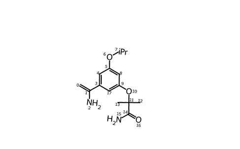 C=C(N)c1cc(OC(C)C)cc(OC(C)(C)C(N)=O)c1